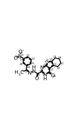 CC(=NNC(=O)c1nc2sc3c(c2c(=O)[nH]1)CCCC3)c1cccc([N+](=O)[O-])c1